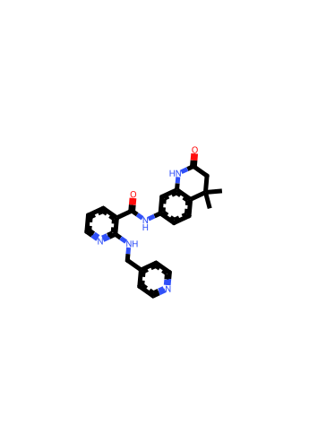 CC1(C)CC(=O)Nc2cc(NC(=O)c3cccnc3NCc3ccncc3)ccc21